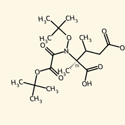 CC(CC(=O)O)[C@@](C)(C(=O)O)N(OC(C)(C)C)C(=O)C(=O)OC(C)(C)C